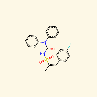 CC(=Cc1ccc(F)cc1)S(=O)(=O)NC(=O)N(c1ccccc1)c1ccccc1